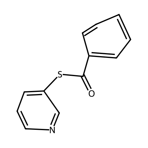 O=C(Sc1cccnc1)c1ccccc1